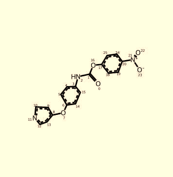 O=C(Nc1ccc(Oc2ccncc2)cc1)Oc1ccc([N+](=O)[O-])cc1